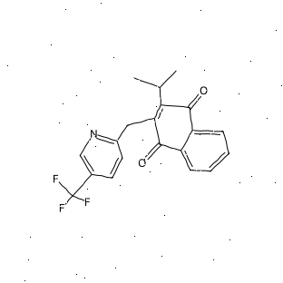 CC(C)C1=C(Cc2ccc(C(F)(F)F)cn2)C(=O)c2ccccc2C1=O